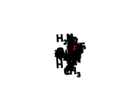 CCOc1cc(OC[C@H]2COCCN2)c2c(c1)=NCN(c1cccc(F)c1F)C=2Nc1cnn(CC(N)=O)c1